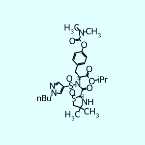 CCCCn1cc(S(=O)(=O)N(C(=O)[C@H]2NC(C)(C)CS2)[C@@H](Cc2ccc(OC(=O)N(C)C)cc2)C(=O)OC(C)C)cn1